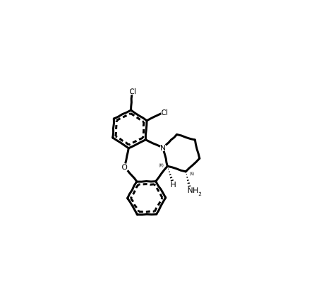 N[C@H]1CCCN2c3c(ccc(Cl)c3Cl)Oc3ccccc3[C@H]12